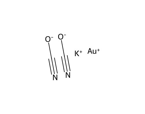 N#C[O-].N#C[O-].[Au+].[K+]